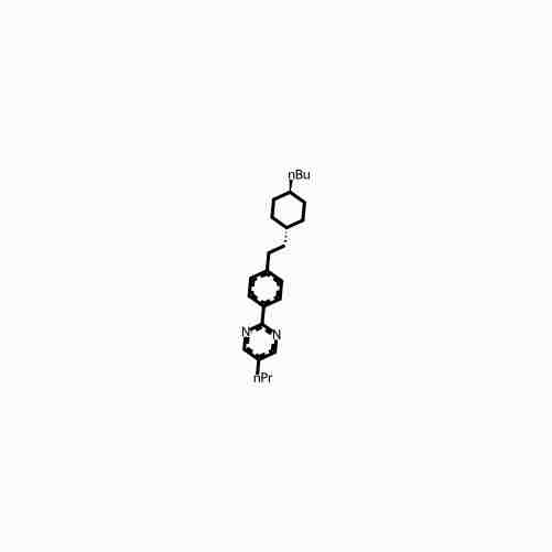 CCCC[C@H]1CC[C@H](CCc2ccc(-c3ncc(CCC)cn3)cc2)CC1